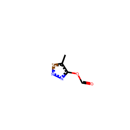 Cc1snnc1OC=O